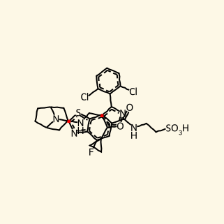 O=C(NCCS(=O)(=O)O)c1cc(F)c2nc(N3C4CCC3CC(NCc3c(-c5c(Cl)cccc5Cl)noc3C3CC3)C4)sc2c1